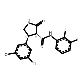 O=C1NC[C@H](c2cc(Cl)cc(Cl)c2)[C@H]1C(=O)Nc1cccc(F)c1F